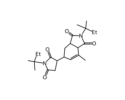 CCC(C)(C)N1C(=O)CC(C2C=C(C)C3C(=O)N(C(C)(C)CC)C(=O)C3C2)C1=O